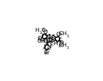 COc1ccc(CN(Cc2ccc(OC)cc2OC)S(=O)(=O)[C@H](C)[C@H](O)c2ccc(Br)cn2)c(OC)c1